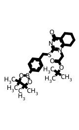 CC(C)(C)OC(=O)Cn1c(SCc2ccc(B3OC(C)(C)C(C)(C)O3)cc2)nc(=O)c2c1CCCC2